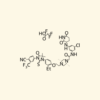 CCc1cc(N2C(=S)N(c3ccc(C#N)c(C(F)(F)F)c3)C(=O)C2(C)C)ccc1OCCN1C[C@@H](C)N(CC(=O)Nc2cc(Cl)cc(NC3CCC(=O)NC3=O)c2)C[C@H]1C.O=C(O)C(F)(F)F